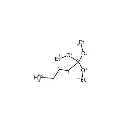 CCOC(CCCP)(OCC)OCC